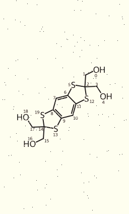 OCC1(CO)Sc2cc3c(cc2S1)SC(CO)(CO)S3